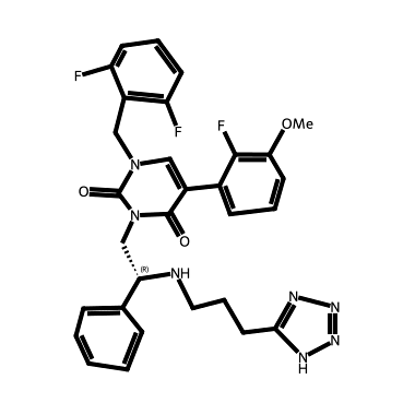 COc1cccc(-c2cn(Cc3c(F)cccc3F)c(=O)n(C[C@H](NCCCc3nnn[nH]3)c3ccccc3)c2=O)c1F